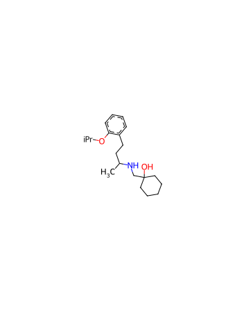 CC(CCc1ccccc1OC(C)C)NCC1(O)CCCCC1